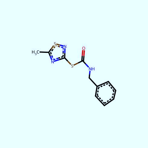 Cc1nc(SC(=O)NCc2ccccc2)ns1